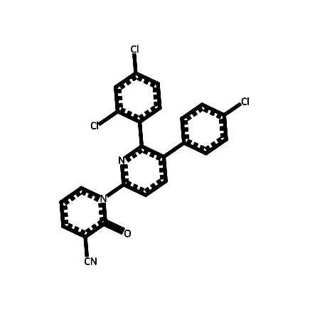 N#Cc1cccn(-c2ccc(-c3ccc(Cl)cc3)c(-c3ccc(Cl)cc3Cl)n2)c1=O